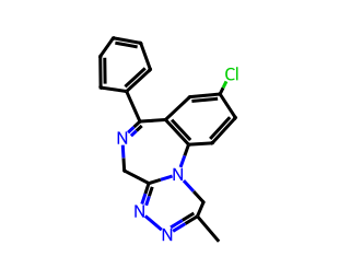 CC1=NN=C2CN=C(c3ccccc3)c3cc(Cl)ccc3N2C1